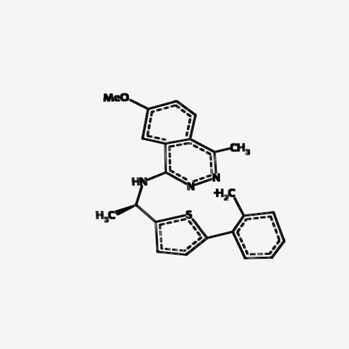 [CH2]c1ccccc1-c1ccc([C@@H](C)Nc2nnc(C)c3ccc(OC)cc23)s1